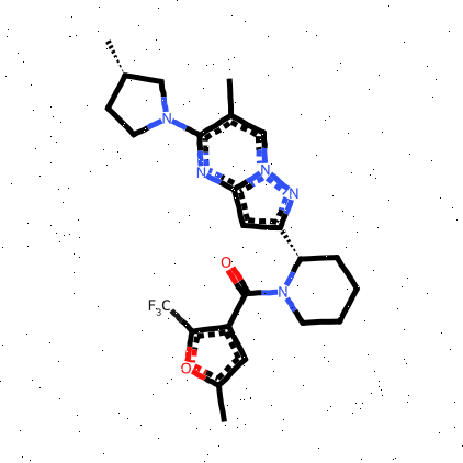 Cc1cc(C(=O)N2CCCC[C@H]2c2cc3nc(N4CC[C@H](C)C4)c(C)cn3n2)c(C(F)(F)F)o1